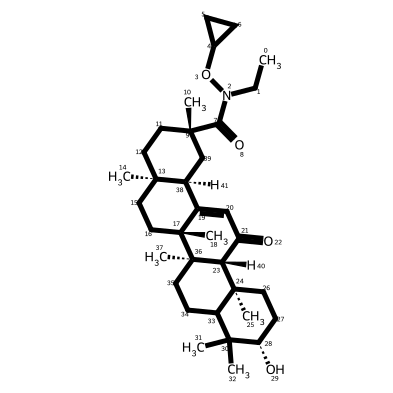 CCN(OC1CC1)C(=O)[C@@]1(C)CC[C@]2(C)CC[C@]3(C)C(=CC(=O)[C@@H]4[C@@]5(C)CC[C@H](O)C(C)(C)C5CC[C@]43C)[C@@H]2C1